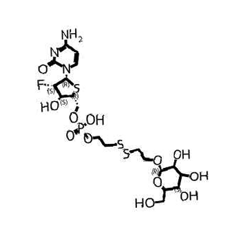 Nc1ccn([C@@H]2S[C@H](COP(=O)(O)OCCSSCCO[C@@H]3OC(CO)[C@@H](O)C(O)C3O)[C@@H](O)[C@@H]2F)c(=O)n1